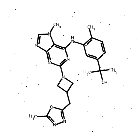 Cc1nnc(CC2CN(c3nc(Nc4cc(C(C)(C)C)ccc4C)c4c(ncn4C)n3)C2)o1